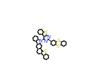 c1ccc2c(c1)Sc1ccc(-c3nc(-n4c5ccccc5c5cc6ccc7c8ccccc8sc7c6cc54)c4c(n3)sc3ccccc34)cc1S2